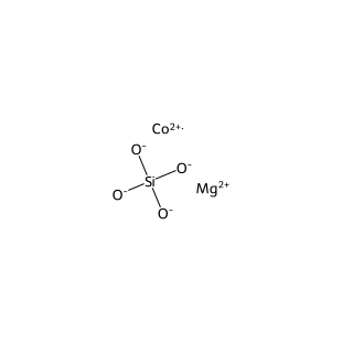 [Co+2].[Mg+2].[O-][Si]([O-])([O-])[O-]